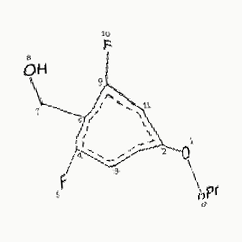 CCCOc1cc(F)c(CO)c(F)c1